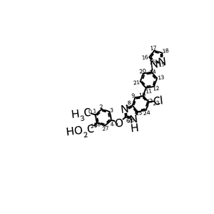 Cc1ccc(Oc2nc3cc(-c4ccc(-n5cccn5)cc4)c(Cl)cc3[nH]2)cc1C(=O)O